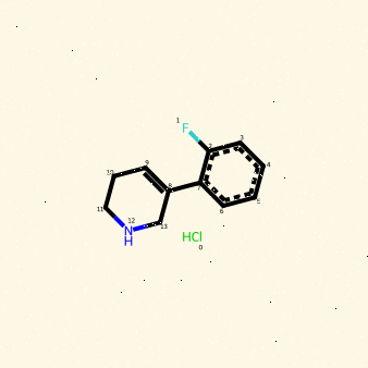 Cl.Fc1ccccc1C1=CCCNC1